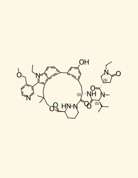 CCN1C[C@@H](C(=O)N(C)[C@H](C(=O)N[C@H]2Cc3cc(O)cc(c3)-c3ccc4c(c3)c(c(-c3cnccc3COC)n4CC)CC(C)(C)COCC3(C=O)CCCN(N3)C2=O)C(C)C)CC1=O